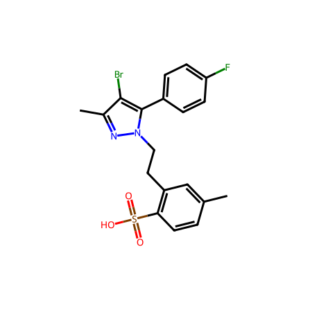 Cc1ccc(S(=O)(=O)O)c(CCn2nc(C)c(Br)c2-c2ccc(F)cc2)c1